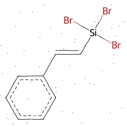 Br[Si](Br)(Br)C=Cc1ccccc1